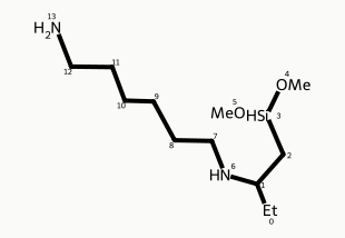 CCC(C[SiH](OC)OC)NCCCCCCN